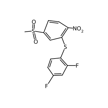 CS(=O)(=O)c1ccc([N+](=O)[O-])c(Sc2ccc(F)cc2F)c1